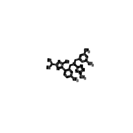 CCc1sc(C(CC)CC)nc1-c1ccc(C(F)(F)F)cc1CN(Cc1cc(C(F)(F)F)cc(C(F)(F)F)c1)c1nnn(C)n1